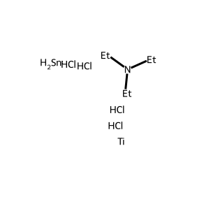 CCN(CC)CC.Cl.Cl.Cl.Cl.[SnH2].[Ti]